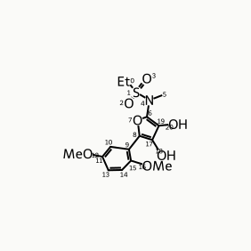 CCS(=O)(=O)N(C)c1oc(-c2cc(OC)ccc2OC)c(O)c1O